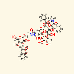 CC1CC(C(=O)NCCO[C@H]2OC(CO)[C@@H](O)C(OCc3cc4ccccc4oc3=O)C2O)C[C@@H](O[C@@H]2OC(CO)[C@H](O)C(O[C@@H](CC3CCCCC3)C(=O)N3CCC3)C2OC(=O)c2ccccc2)C1O[C@@H]1OC(C)[C@@H](O)C(O)C1O